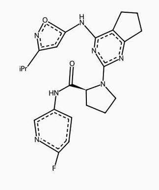 CC(C)c1cc(Nc2nc(N3CCC[C@H]3C(=O)Nc3ccc(F)nc3)nc3c2CCC3)on1